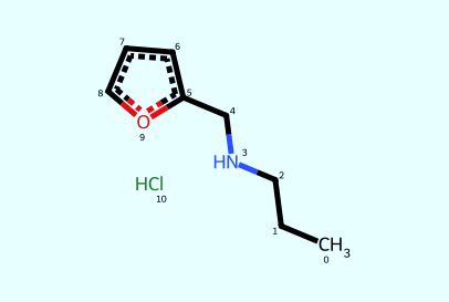 CCCNCc1ccco1.Cl